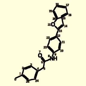 Cc1ccc(CC(=O)Nc2ccc(-c3cc4ccccc4o3)cc2)cc1